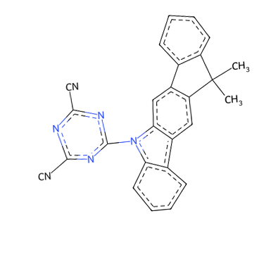 [C-]#[N+]c1nc(C#N)nc(-n2c3ccccc3c3cc4c(cc32)-c2ccccc2C4(C)C)n1